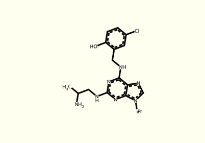 CC(N)CNc1nc(NCc2cc(Cl)ccc2O)c2ncn(C(C)C)c2n1